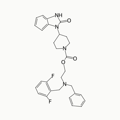 O=C(OCCN(Cc1ccccc1)Cc1c(F)cccc1F)N1CCC(n2c(=O)[nH]c3ccccc32)CC1